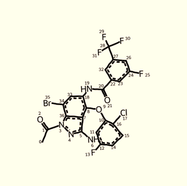 CC(=O)n1nc(N)c2c(Oc3cc(F)ccc3Cl)c(NC(=O)c3cc(F)cc(C(F)(F)F)c3)cc(Br)c21